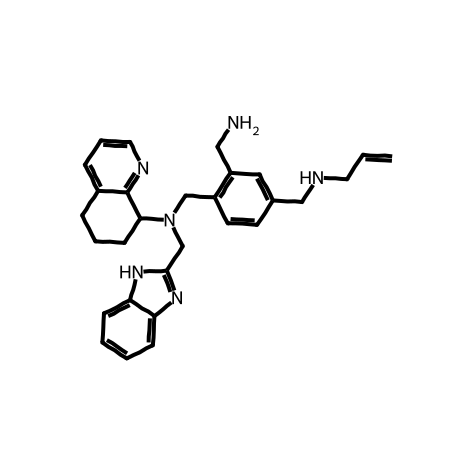 C=CCNCc1ccc(CN(Cc2nc3ccccc3[nH]2)C2CCCc3cccnc32)c(CN)c1